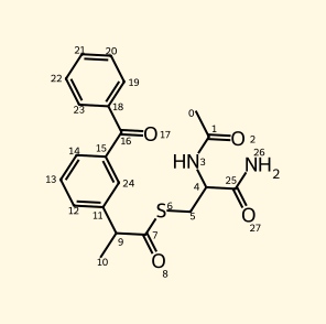 CC(=O)NC(CSC(=O)C(C)c1cccc(C(=O)c2ccccc2)c1)C(N)=O